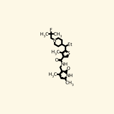 CCC(c1scc(C(=O)NCc2c(C)cc(C)[nH]c2=O)c1C)C1CCN(CC(C)(C)F)CC1